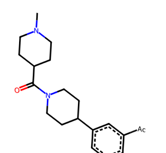 CC(=O)c1cccc(C2CCN(C(=O)C3CCN(C)CC3)CC2)c1